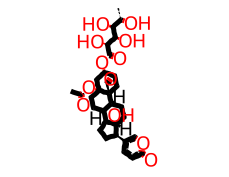 CC(=O)O[C@]12CC[C@@H]3[C@H](CC[C@@H]4[C@@H](c5ccc(=O)oc5)CC[C@@]43O)[C@@]1(C=O)CC[C@H](OC(=O)[C@H](O)[C@H](O)[C@@H](O)[C@H](C)O)C2